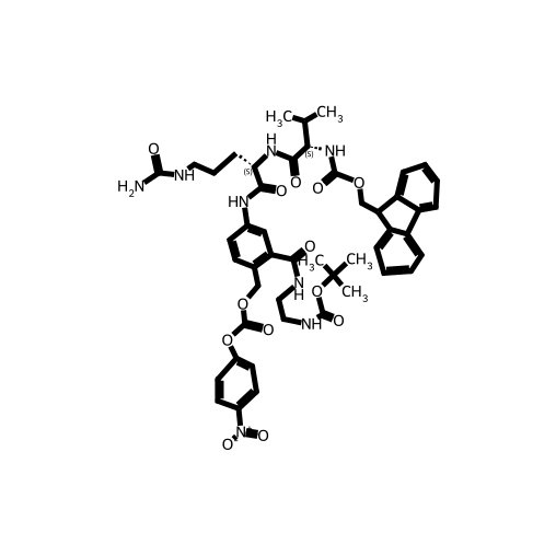 CC(C)[C@H](NC(=O)OCC1c2ccccc2-c2ccccc21)C(=O)N[C@@H](CCCNC(N)=O)C(=O)Nc1ccc(COC(=O)Oc2ccc([N+](=O)[O-])cc2)c(C(=O)NCCNC(=O)OC(C)(C)C)c1